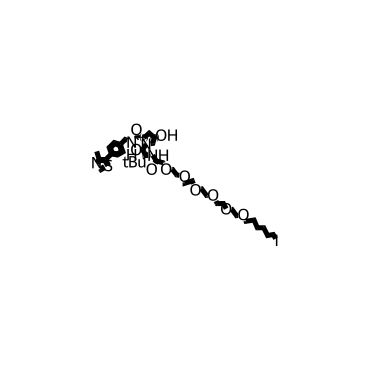 Cc1ncsc1-c1ccc(CNC(=O)[C@@H]2C[C@@H](O)CN2C(=O)[C@@H](NC(=O)COCCOCCOCCOCCOCCOCCCCCCI)C(C)(C)C)cc1